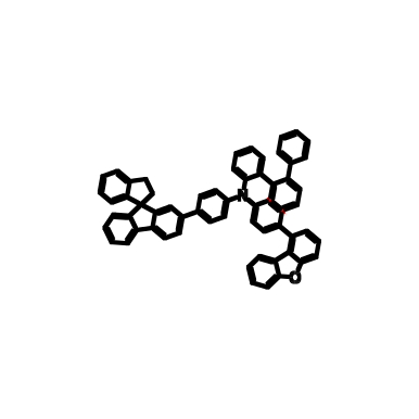 c1ccc(-c2ccccc2-c2ccccc2N(c2ccc(-c3ccc4c(c3)C3(CCc5ccccc53)c3ccccc3-4)cc2)c2ccc(-c3cccc4oc5ccccc5c34)cc2)cc1